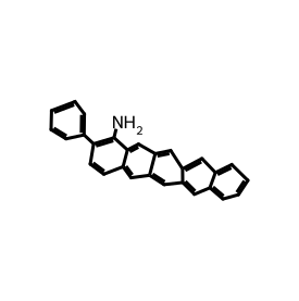 Nc1c(-c2ccccc2)ccc2cc3cc4cc5ccccc5cc4cc3cc12